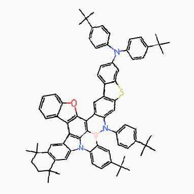 CC(C)(C)c1ccc(N2B3c4cc(C(C)(C)C)ccc4-n4c5cc6c(cc5c5c7c(oc8ccccc87)c(c3c54)-c3cc4c(cc32)sc2cc(N(c3ccc(C(C)(C)C)cc3)c3ccc(C(C)(C)C)cc3)ccc24)C(C)(C)CCC6(C)C)cc1